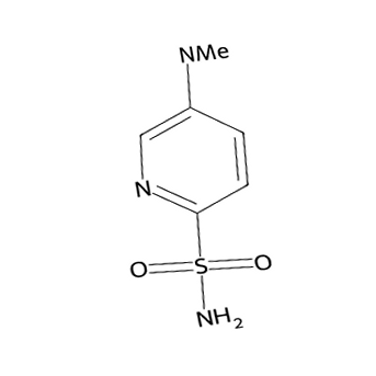 [CH2+][N-]c1ccc(S(N)(=O)=O)nc1